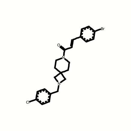 O=C(C=Cc1ccc(Br)cc1)N1CCC2(CC1)CN(Cc1ccc(Cl)cc1)C2